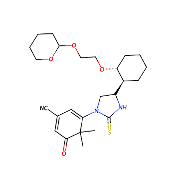 CC1(C)C(=O)C=C(C#N)C=C1N1CC([C@@H]2CCCC[C@H]2OCCOC2CCCCO2)NC1=S